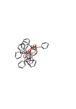 c1ccc([SiH](O[SiH](O[SiH](O[Si](c2ccccc2)(c2ccccc2)c2ccccc2)c2ccccc2)c2ccccc2)O[SiH](O[Si](c2ccccc2)(c2ccccc2)c2ccccc2)c2ccccc2)cc1